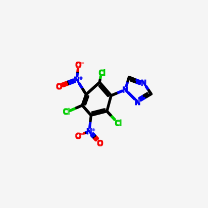 O=[N+]([O-])c1c(Cl)c(-n2cncn2)c(Cl)c([N+](=O)[O-])c1Cl